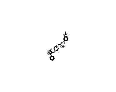 Cc1nc2cc(OC[C@@H](O)CN3CCN(Cc4c(C)noc4-c4ccccc4)[C@@H](C)C3)ccc2s1